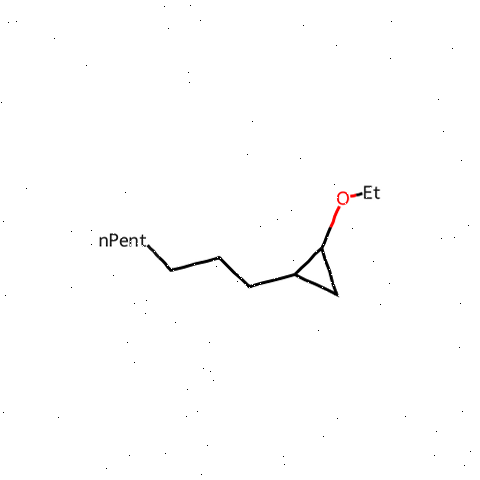 CCCCCCCCC1CC1OCC